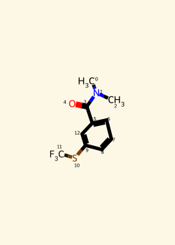 CN(C)C(=O)c1cccc(SC(F)(F)F)c1